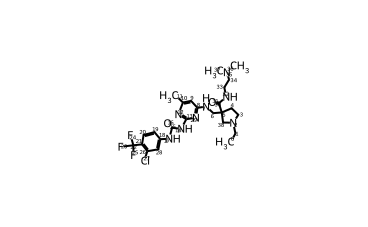 CCN1CCC(CNc2cc(C)nc(NC(=O)Nc3ccc(C(F)(F)F)c(Cl)c3)n2)(C(=O)NCCN(C)C)C1